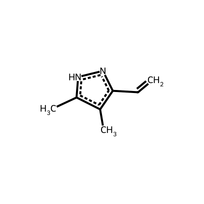 C=Cc1n[nH]c(C)c1C